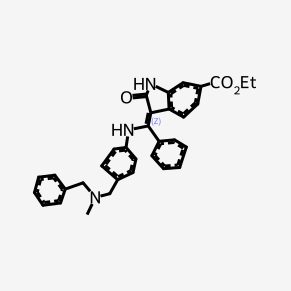 CCOC(=O)c1ccc2c(c1)NC(=O)/C2=C(\Nc1ccc(CN(C)Cc2ccccc2)cc1)c1ccccc1